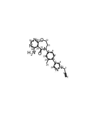 C#CCn1cc(-c2ccc(N3CCOc4ncnc(N)c4C3=O)cc2C)cn1